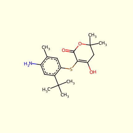 Cc1cc(SC2=C(O)CC(C)(C)OC2=O)c(C(C)(C)C)cc1N